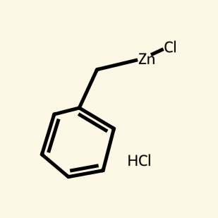 Cl.[Cl][Zn][CH2]c1ccccc1